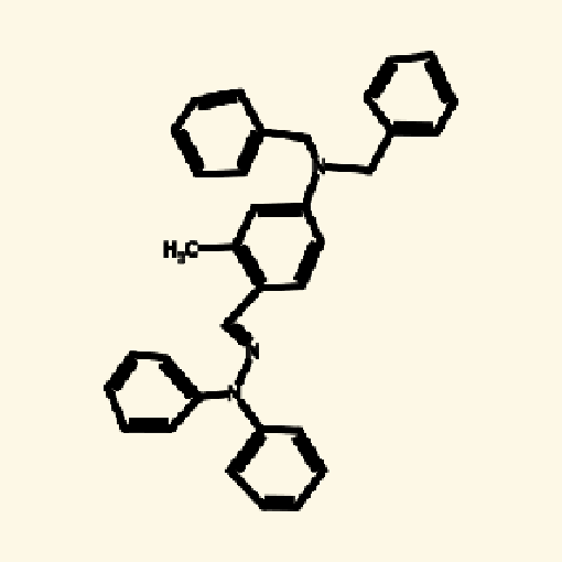 Cc1cc(N(Cc2ccccc2)Cc2ccccc2)ccc1C=NN(c1ccccc1)c1ccccc1